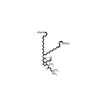 CC/C=C\CC1C(CC(=O)OC(CCCCCCCC/C=C\C/C=C\CCCCC)CCCCCCCC/C=C\C/C=C\CCCCC)CCC1N(C)C(=O)CCN(C)C